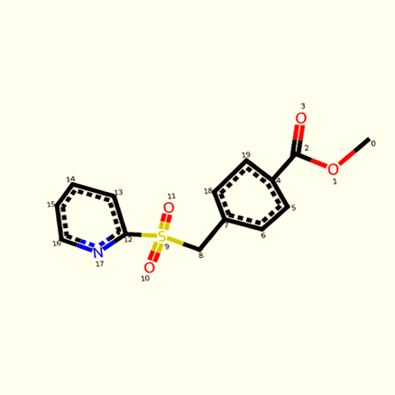 COC(=O)c1ccc(CS(=O)(=O)c2ccccn2)cc1